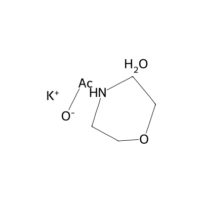 C1COCCN1.CC(=O)[O-].O.[K+]